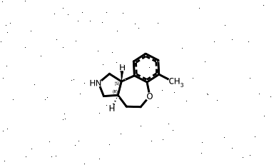 Cc1cccc2c1OCC[C@H]1CNC[C@H]21